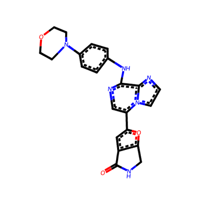 O=C1NCc2oc(-c3cnc(Nc4ccc(N5CCOCC5)cc4)c4nccn34)cc21